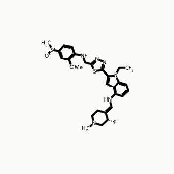 COc1cc([S+](C)[O-])ccc1NCc1nnc(-c2cc3c(N/C=C4\CCN(C)C[C@H]4F)cccc3n2CC(F)(F)F)s1